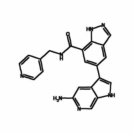 Nc1cc2c(-c3cc(C(=O)NCc4ccncc4)c4[nH]ncc4c3)c[nH]c2cn1